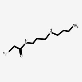 CCC(=O)NCCCNCCCN